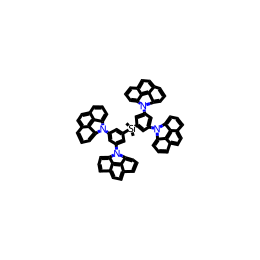 C[Si](C)(c1cc(-n2c3cccc4ccc5cccc2c5c43)cc(-n2c3cccc4ccc5cccc2c5c43)c1)c1cc(-n2c3cccc4ccc5cccc2c5c43)cc(-n2c3cccc4ccc5cccc2c5c43)c1